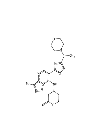 CCn1ncc2c(NC3CCOC(=O)C3)c(-c3nc(C(C)N4CCOCC4)no3)cnc21